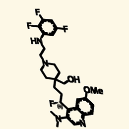 COc1ccc2ncc(N(C)C)c([C@H](F)CCC3(CO)CCN(CCNc4cc(F)cc(F)c4F)CC3)c2c1